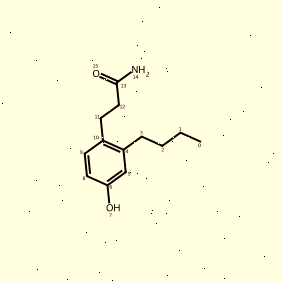 CCCCc1cc(O)ccc1CCC(N)=O